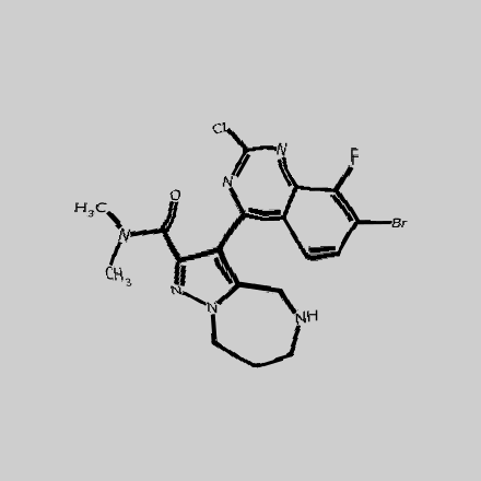 CN(C)C(=O)c1nn2c(c1-c1nc(Cl)nc3c(F)c(Br)ccc13)CNCCC2